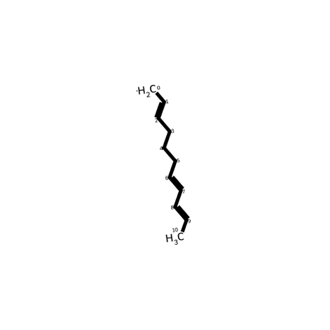 [CH2]/C=C/CCC/C=C/C=C/C